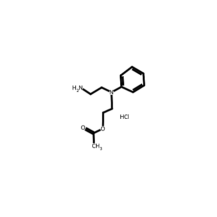 CC(=O)OCCN(CCN)c1ccccc1.Cl